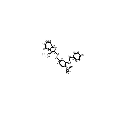 Cc1c(CCc2ccc([N+](=O)[O-])c(OCc3ccccc3)c2)nc2ccccn12